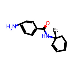 CCC1(NC(=O)c2ccc(N)cc2)C=CC=CC1